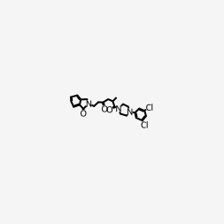 CC(CC(=O)CCN1Cc2ccccc2C1=O)C(=O)N1CCN(c2cc(Cl)cc(Cl)c2)CC1